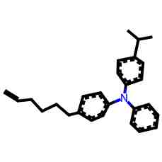 C=CCCCCc1ccc(N(c2ccccc2)c2ccc(C(C)C)cc2)cc1